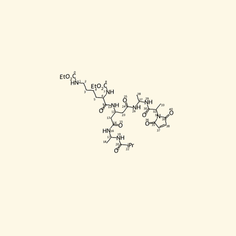 CCOC(=O)NCCCCC(NC(=O)OCC)C(=O)NC(CC(=O)NC(C)NC(=O)C(C)C)CC(=O)NC(C)NC(=O)C(C)N1C(=O)C=CC1=O